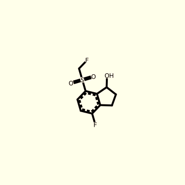 O=S(=O)(CF)c1ccc(F)c2c1C(O)CC2